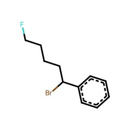 FCCCCC(Br)c1ccccc1